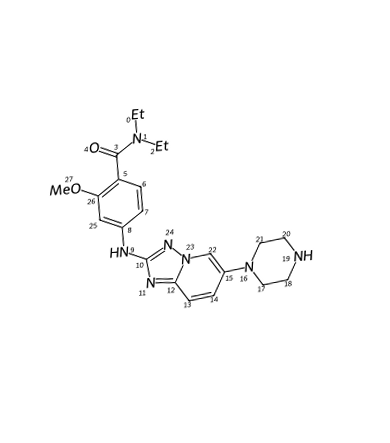 CCN(CC)C(=O)c1ccc(Nc2nc3ccc(N4CCNCC4)cn3n2)cc1OC